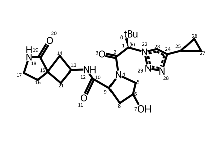 CC(C)(C)[C@H](C(=O)N1CC(O)CC1C(=O)NC1CC2(CCNC2=O)C1)n1cc(C2CC2)nn1